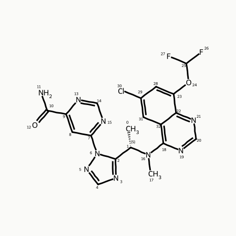 C[C@@H](c1ncnn1-c1cc(C(N)=O)ncn1)N(C)c1ncnc2c(OC(F)F)cc(Cl)cc12